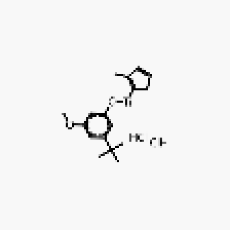 COc1cc([O][Ti][C]2=C(C)C=CC2)cc(C(C)(C)C)c1.Cl.Cl